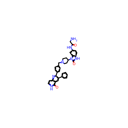 NCC(=O)Nc1ccc2[nH]c(=O)n(C3CCN(Cc4ccc(-c5nc6cc[nH]c(=O)c6cc5-c5ccccc5)cc4)CC3)c2c1